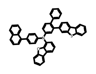 c1ccc(-c2ccc(N(c3ccc(-c4cccc5ccccc45)cc3)c3cccc4c3oc3ccccc34)cc2-c2ccc3c(c2)sc2ccccc23)cc1